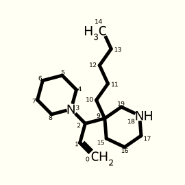 C=CC(N1CCCCC1)C1(CCCCC)CCCNC1